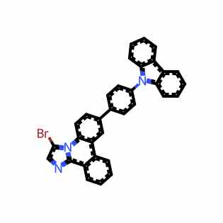 Brc1cnc2c3ccccc3c3cc(-c4ccc(-n5c6ccccc6c6ccccc65)cc4)ccc3n12